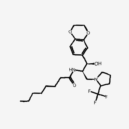 CCCCCCCC(=O)N[C@H](CN1CCCC1C(F)(F)F)[C@H](O)c1ccc2c(c1)OCCO2